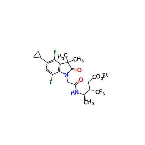 CCOC(=O)C[C@@H]([C@@H](C)NC(=O)CN1C(=O)C(C)(C)c2c(F)c(C3CC3)cc(F)c21)C(F)(F)F